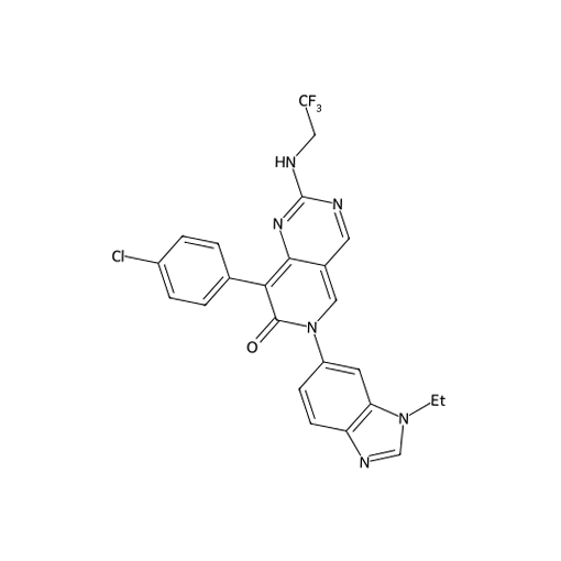 CCn1cnc2ccc(-n3cc4cnc(NCC(F)(F)F)nc4c(-c4ccc(Cl)cc4)c3=O)cc21